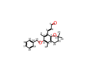 Cc1c(C=CC=O)c2c(c(C)c1OCc1ccccc1)CCC(C)(C)O2